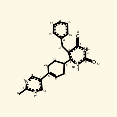 Cc1ncc(C2=CCC(c3[nH]c(=O)[nH]c(=O)c3Cc3ccccc3)CC2)cn1